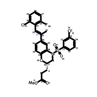 COC(=O)CC[C@H]1CN(S(=O)(=O)c2cccc(C(F)(F)F)c2)c2cc(/C(C)=C/c3c(F)cccc3Cl)ccc2O1